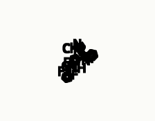 O=C(Nc1cc(-c2nn3ccccc3c2-c2ccnc(Cl)n2)ccc1F)c1c(F)cccc1F